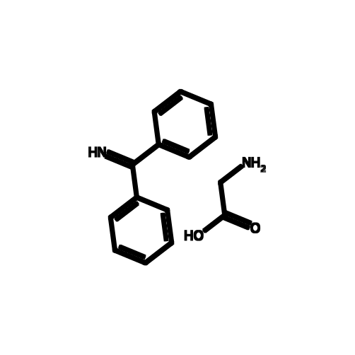 N=C(c1ccccc1)c1ccccc1.NCC(=O)O